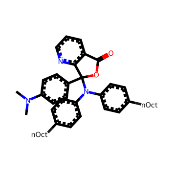 CCCCCCCCc1ccc(N(c2ccc(CCCCCCCC)cc2)C2(c3ccc(N(C)C)cc3)OC(=O)c3cccnc32)cc1